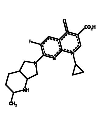 CC1CCC2CN(c3nc4c(cc3F)c(=O)c(C(=O)O)cn4C3CC3)CC2N1